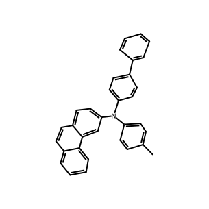 Cc1ccc(N(c2ccc(-c3ccccc3)cc2)c2ccc3ccc4ccccc4c3c2)cc1